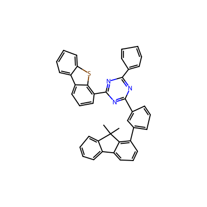 CC1(C)c2ccccc2-c2cccc(-c3cccc(-c4nc(-c5ccccc5)nc(-c5cccc6c5sc5ccccc56)n4)c3)c21